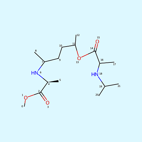 COC(=O)[C@H](C)NC(C)CCC(C)OC(=O)C(C)NC(C)C